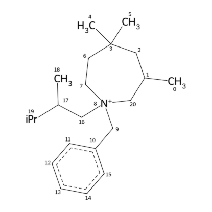 CC1CC(C)(C)CC[N+](Cc2ccccc2)(CC(C)C(C)C)C1